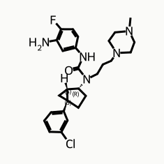 CN1CCN(CCCN(C(=O)Nc2ccc(F)c(N)c2)[C@@H]2CC[C@]3(c4cccc(Cl)c4)C[C@H]23)CC1